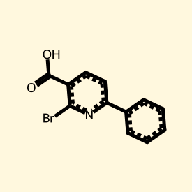 O=C(O)c1ccc(-c2ccccc2)nc1Br